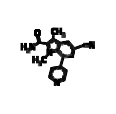 Cc1c(C(N)=O)n(C)c2c(-c3ccncc3)cc(C#N)cc12